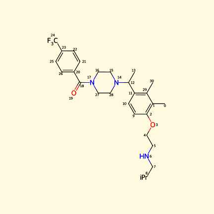 Cc1c(OCCNCC(C)C)ccc(C(C)N2CCN(C(=O)c3ccc(C(F)(F)F)cc3)CC2)c1C